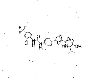 CC(C)C(NC(=O)c1ncc(-c2ccc(NC(=O)Nc3ccc(C(F)(F)F)cc3Cl)cc2)o1)C(=O)O